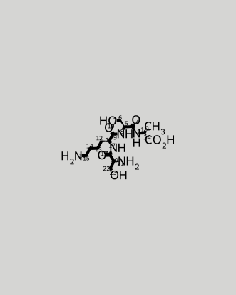 C[C@H](NC(=O)[C@H](CO)NC(=O)[C@H](CCCCN)NC(=O)[C@@H](N)CO)C(=O)O